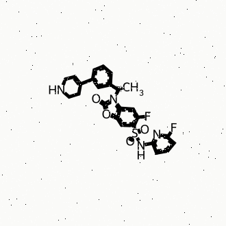 C[C@H](c1cccc(C2=CCNCC2)c1)n1c(=O)oc2cc(S(=O)(=O)Nc3cccc(F)n3)c(F)cc21